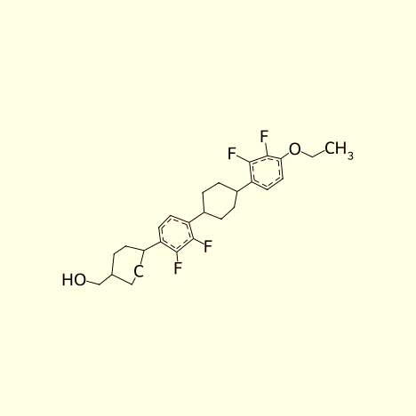 CCOc1ccc(C2CCC(c3ccc(C4CCC(CO)CC4)c(F)c3F)CC2)c(F)c1F